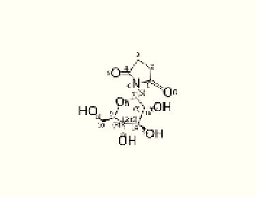 O=C1CCC(=O)N1[C@H]1O[C@H](CO)[C@@H](O)[C@H](O)[C@H]1O